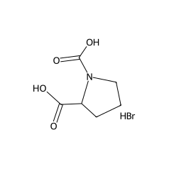 Br.O=C(O)C1CCCN1C(=O)O